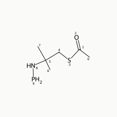 CC(=O)SCC(C)(C)NP